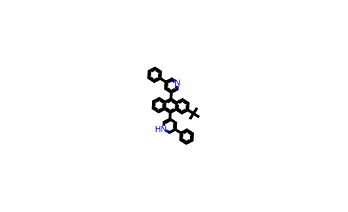 CC(C)(C)c1ccc2c(-c3cncc(-c4ccccc4)c3)c3ccccc3c(C3=CNCC(c4ccccc4)=C3)c2c1